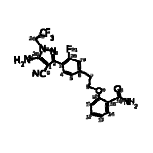 N#Cc1c(-c2ccc(CCOc3ccccc3C(N)=O)cc2F)nn(CC(F)(F)F)c1N